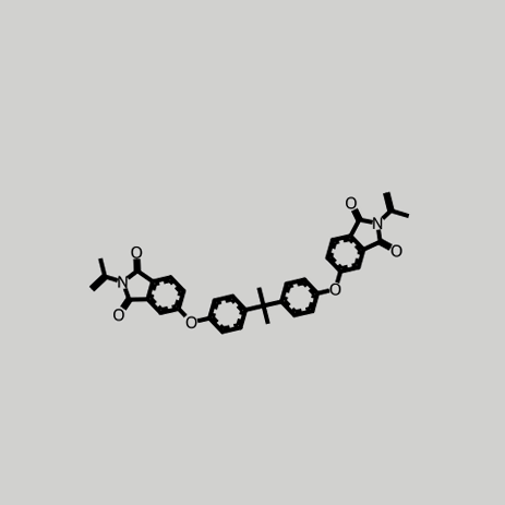 C=C(C)N1C(=O)c2ccc(Oc3ccc(C(C)(C)c4ccc(Oc5ccc6c(c5)C(=O)N(C(=C)C)C6=O)cc4)cc3)cc2C1=O